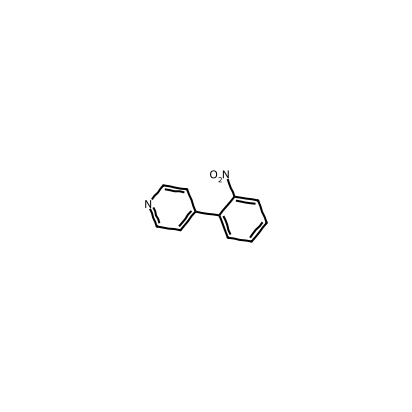 O=[N+]([O-])c1ccccc1-c1ccncc1